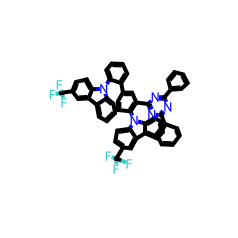 FC(F)(F)c1ccc2c(c1)c1ccccc1n2-c1ccccc1-c1ccc(-n2c3ccccc3c3cc(C(F)(F)F)ccc32)c(-c2nc(-c3ccccc3)nc(-c3ccccc3)n2)c1